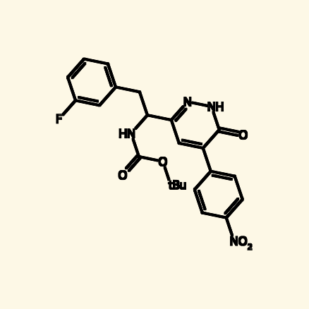 CC(C)(C)OC(=O)NC(Cc1cccc(F)c1)c1cc(-c2ccc([N+](=O)[O-])cc2)c(=O)[nH]n1